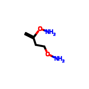 C=C(CCON)ON